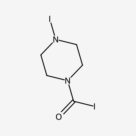 O=C(I)N1CCN(I)CC1